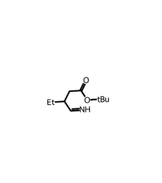 CCC(C=N)CC(=O)OC(C)(C)C